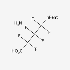 CCCCCC(F)(F)C(F)(F)C(F)(F)C(=O)O.N